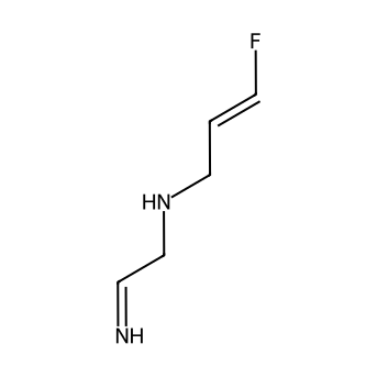 N=CCNC/C=C/F